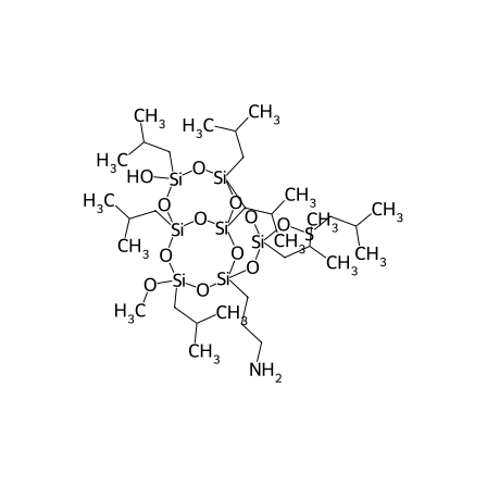 CO[Si]1(CC(C)C)O[Si]2(CC(C)C)O[Si](O)(CC(C)C)O[Si]3(CC(C)C)O[Si](CC(C)C)(OSCC(C)C)O[Si](CCCN)(O1)O[Si](CC(C)C)(O2)O3